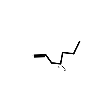 [CH]=CC[C@@H](C)CCC